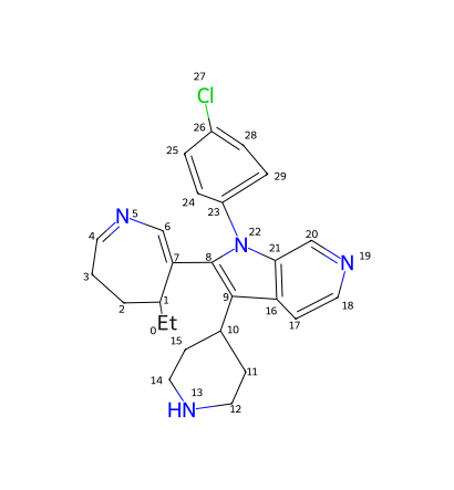 CCC1CCC=NC=C1c1c(C2CCNCC2)c2ccncc2n1-c1ccc(Cl)cc1